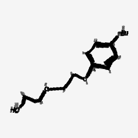 CCCCc1ccc(OCCOCCO)cc1